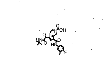 Cc1cc(NC(=O)c2cc(C(=O)C(=O)NC(C)(C)C)n3c2CN(C(=O)O)CC3)ccc1F